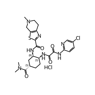 CN1CCc2nc(C(=O)N[C@@H]3C[C@@H](C(=O)N(C)C)CC[C@@H]3NC(=O)C(=O)Nc3ccc(Cl)cn3)sc2C1.Cl